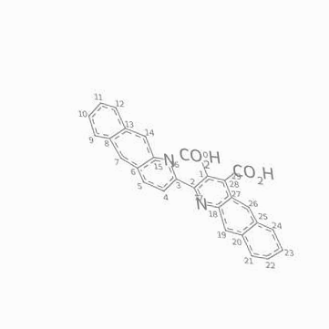 O=C(O)c1c(-c2ccc3cc4ccccc4cc3n2)nc2cc3ccccc3cc2c1C(=O)O